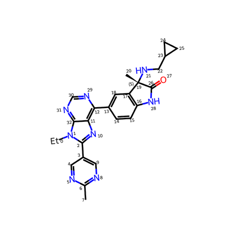 CCn1c(-c2cnc(C)nc2)nc2c(-c3ccc4c(c3)[C@](C)(NCC3CC3)C(=O)N4)ncnc21